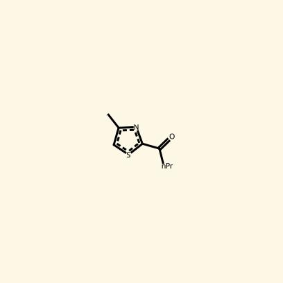 CCCC(=O)c1nc(C)cs1